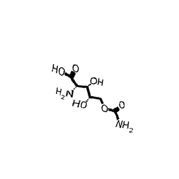 NC(=O)OC[C@H](O)[C@@H](O)[C@H](N)C(=O)O